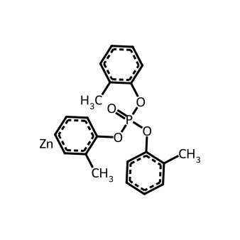 Cc1ccccc1OP(=O)(Oc1ccccc1C)Oc1ccccc1C.[Zn]